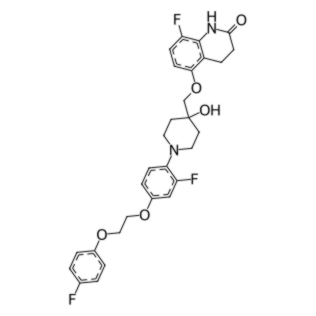 O=C1CCc2c(OCC3(O)CCN(c4ccc(OCCOc5ccc(F)cc5)cc4F)CC3)ccc(F)c2N1